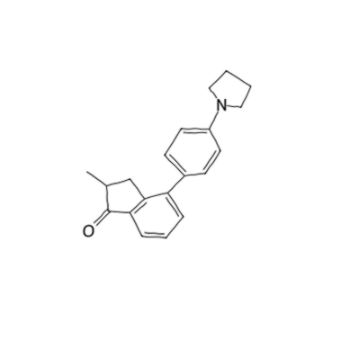 CC1Cc2c(cccc2-c2ccc(N3CCCC3)cc2)C1=O